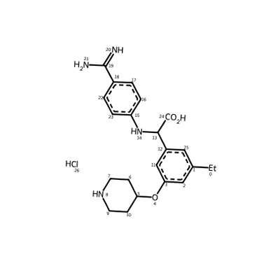 CCc1cc(OC2CCNCC2)cc(C(Nc2ccc(C(=N)N)cc2)C(=O)O)c1.Cl